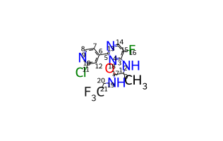 C[C@H](Nc1nc(-c2ccnc(Cl)c2)ncc1F)C(=O)NCC(F)(F)F